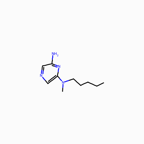 CCCCCN(C)c1cncc(N)n1